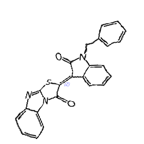 O=C1/C(=c2\sc3nc4ccccc4n3c2=O)c2ccccc2N1Cc1ccccc1